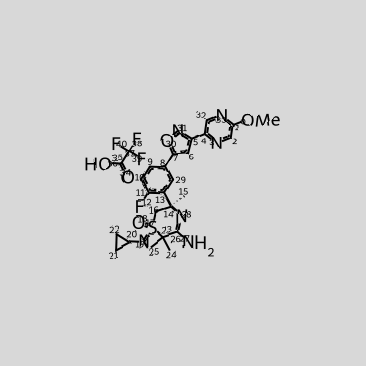 COc1cnc(-c2cc(-c3ccc(F)c([C@]4(C)CS(=O)(=NC5CC5)C(C)(C)C(N)=N4)c3)on2)cn1.O=C(O)C(F)(F)F